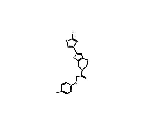 O=C(COc1ccc(F)cc1)N1CCc2cc(-c3noc(C(F)(F)F)n3)sc2C1